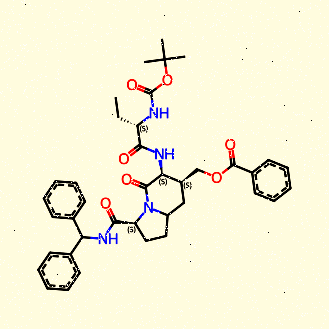 CC[C@H](NC(=O)OC(C)(C)C)C(=O)N[C@@H]1C(=O)N2C(CC[C@H]2C(=O)NC(c2ccccc2)c2ccccc2)C[C@@H]1COC(=O)c1ccccc1